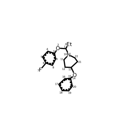 CCC(Oc1ccc(F)cc1)N1CCC(Oc2ccccc2)CC1